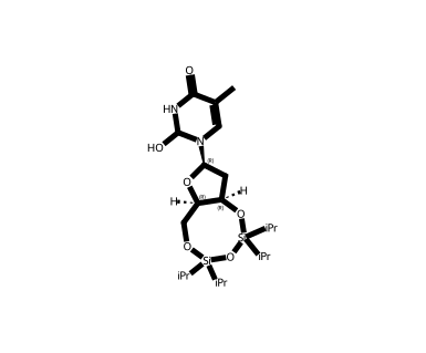 CC1=CN([C@H]2C[C@H]3O[Si](C(C)C)(C(C)C)O[Si](C(C)C)(C(C)C)OC[C@H]3O2)C(O)NC1=O